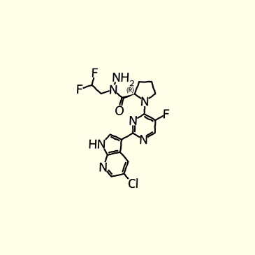 NN(CC(F)F)C(=O)[C@H]1CCCN1c1nc(-c2c[nH]c3ncc(Cl)cc23)ncc1F